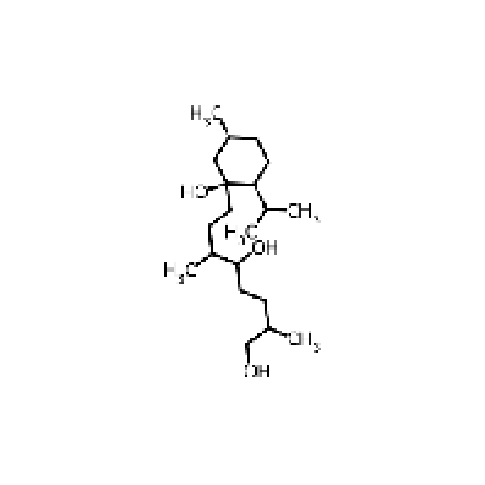 CC(CO)CCC(O)C(C)CC[C@]1(O)C[C@@H](C)CC[C@H]1C(C)C